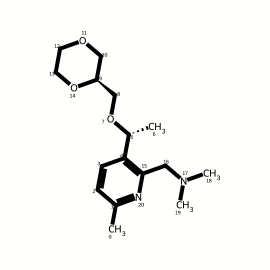 Cc1ccc([C@@H](C)OC[C@@H]2COCCO2)c(CN(C)C)n1